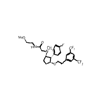 COCCNC(=O)CN(C)[C@@H]1CC[C@H](OCCc2cc(C(F)(F)F)cc(C(F)(F)F)c2)[C@H]1c1ccc(F)cc1